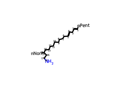 CCCCCC=CCC=CCCCCCCCCCC(CCN)CCCCCCCCC